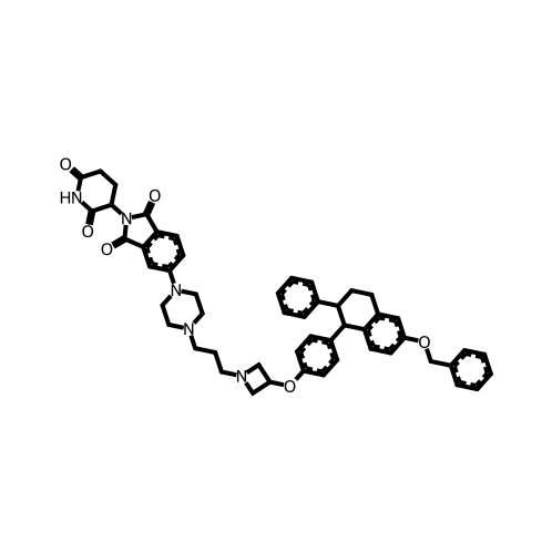 O=C1CCC(N2C(=O)c3ccc(N4CCN(CCCN5CC(Oc6ccc(C7c8ccc(OCc9ccccc9)cc8CCC7c7ccccc7)cc6)C5)CC4)cc3C2=O)C(=O)N1